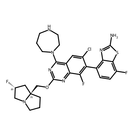 Nc1nc2c(-c3c(Cl)cc4c(N5CCCNCC5)nc(OC[C@@]56CCCN5C[C@H](F)C6)nc4c3F)ccc(F)c2s1